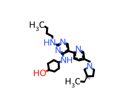 CCCCNc1ncc(-c2ccc(CN3CC[C@@H](CC)C3)cn2)c(NC2CCC(O)CC2)n1